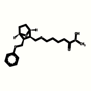 CN(O)C(=O)CCCCSC[C@H]1[C@@H](COc2ccccc2)[C@H]2CC[C@@H]1O2